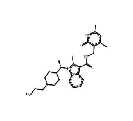 Cc1cc(C)c(CNC(=O)c2c(C)n([C@H](C)C3CCN(CCN)CC3)c3ccccc23)c(=O)[nH]1